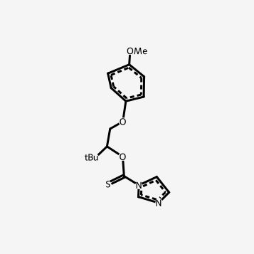 COc1ccc(OCC(OC(=S)n2ccnc2)C(C)(C)C)cc1